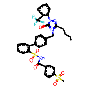 CCCCc1nn(-c2ccccc2C(F)(F)F)c(=O)n1Cc1ccc(-c2ccccc2S(=O)(=O)NC(=O)c2ccc(S(C)(=O)=O)cc2)cc1